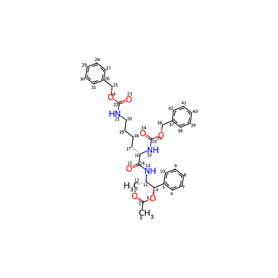 CC(=O)O[C@H](c1ccccc1)[C@H](C)NC(=O)[C@H](CCCCNC(=O)OCc1ccccc1)NC(=O)OCc1ccccc1